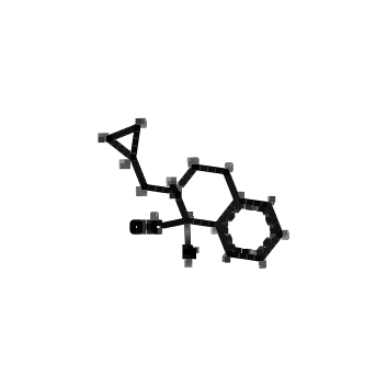 O=CC1(Br)c2ccccc2CCN1CC1CC1